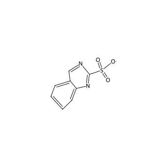 [O]S(=O)(=O)c1ncc2ccccc2n1